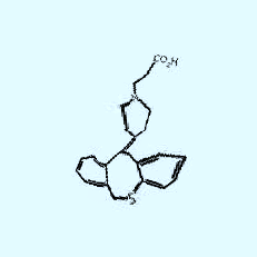 O=C(O)CCN1CCC(=C2c3ccccc3CSc3ccccc32)CC1